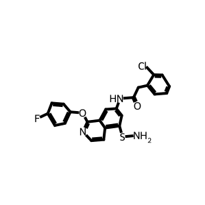 NSc1cc(NC(=O)Cc2ccccc2Cl)cc2c(Oc3ccc(F)cc3)nccc12